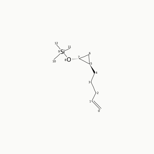 C=CCCC[C@@H]1C[C@H]1O[Si](C)(C)C